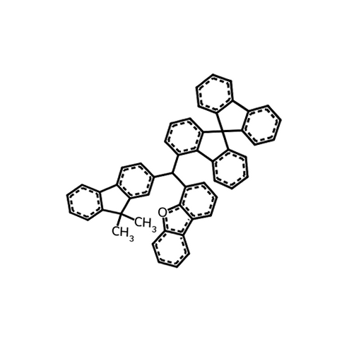 CC1(C)c2ccccc2-c2ccc(C(c3cccc4c3-c3ccccc3C43c4ccccc4-c4ccccc43)c3cccc4c3oc3ccccc34)cc21